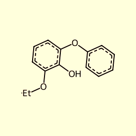 C[CH]Oc1cccc(Oc2ccccc2)c1O